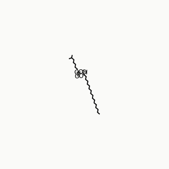 CCCCCCCCCCCCCCCCCC(=O)OP(=O)(O)OCCCCCC(C)C